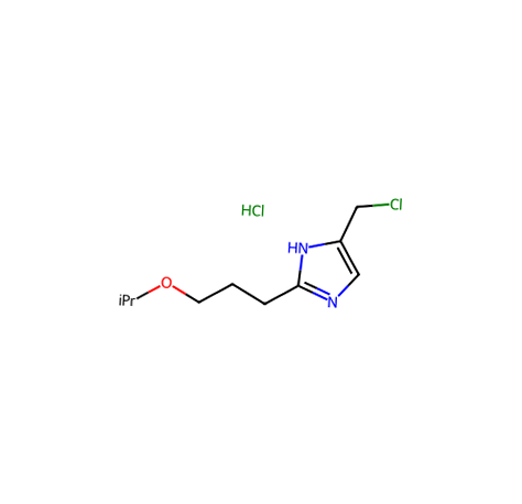 CC(C)OCCCc1ncc(CCl)[nH]1.Cl